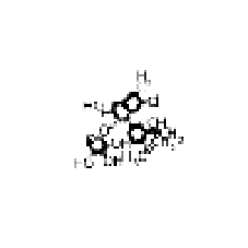 COc1ccc([C@@H]2c3cc(Cl)c(C)cc3C[C@H](CO)[C@H]2CO[C@@H]2OC[C@@H](O)[C@H](O)[C@H]2O)cc1C(C)(C)C